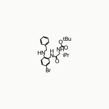 CC(C)[C@@H](NC(=O)OC(C)(C)C)C(=O)Nc1cc(Br)ccc1NCc1ccccc1